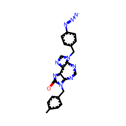 Cc1ccc(Cn2c3ncnc4c(ncn4Cc4ccc(N=[N+]=[N-])cc4)c-3nc2=O)cc1